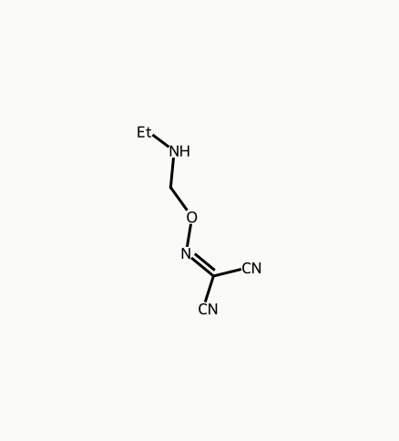 CCNCON=C(C#N)C#N